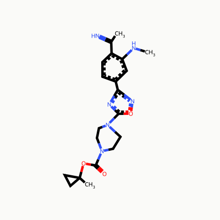 CNc1cc(-c2noc(N3CCN(C(=O)OC4(C)CC4)CC3)n2)ccc1C(C)=N